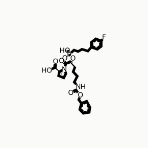 O=C(NCCCC[C@H](OP(=O)(O)CCCCc1ccc(F)cc1)C(=O)N1CCC[C@H]1C(=O)O)OCc1ccccc1